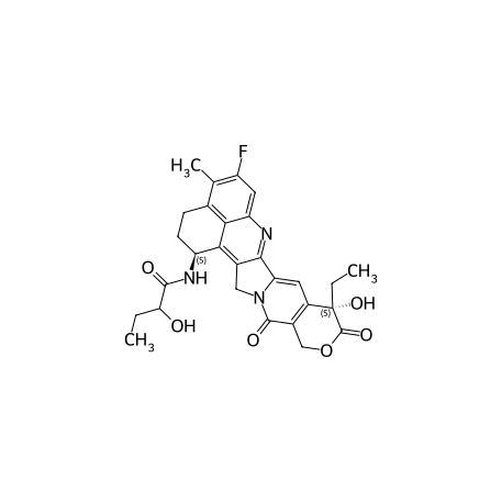 CCC(O)C(=O)N[C@H]1CCc2c(C)c(F)cc3nc4c(c1c23)Cn1c-4cc2c(c1=O)COC(=O)[C@]2(O)CC